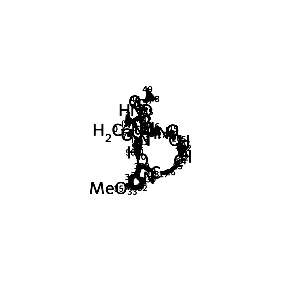 C=C[C@@H]1C[C@]1(NC(=O)[C@@H]1C[C@@H]2CN1C(=O)C(C(C)(C)C)NC(=O)O[C@@H]1C[C@H]1CCCCCc1nc3ccc(OC)cc3cc1O2)C(=O)NS(=O)(=O)C1CC1